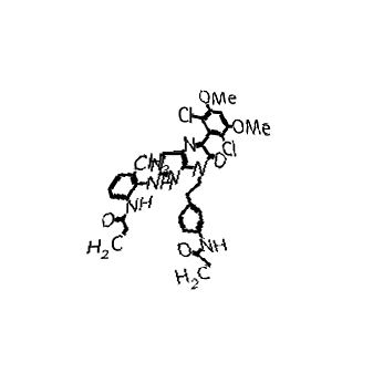 C=CC(=O)Nc1ccc(CCn2c(=O)c(-c3c(Cl)c(OC)cc(OC)c3Cl)nc3cnc(Nc4c(C)cccc4NC(=O)C=C)nc32)cc1